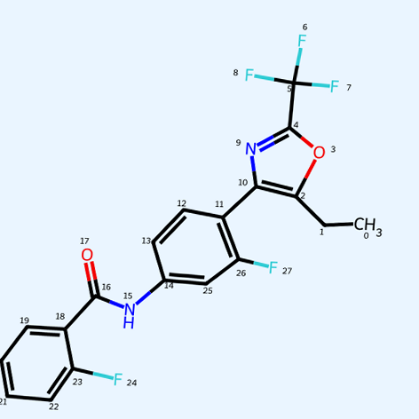 CCc1oc(C(F)(F)F)nc1-c1ccc(NC(=O)c2ccccc2F)cc1F